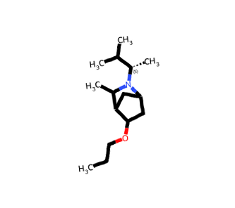 CCCOC1CC2CC1C(C)N2[C@@H](C)C(C)C